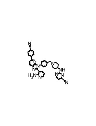 N#Cc1ccc(-c2ccc3nc(-c4cccnc4N)n(-c4ccc(CN5CCC(Nc6nccc(C#N)n6)CC5)cc4)c3n2)cc1